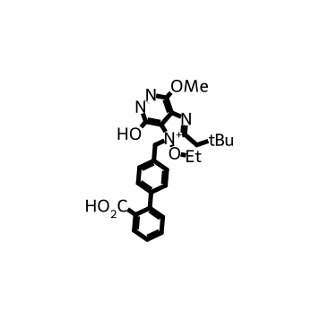 CCO[N+]1(Cc2ccc(-c3ccccc3C(=O)O)cc2)C(CC(C)(C)C)=Nc2c(OC)nnc(O)c21